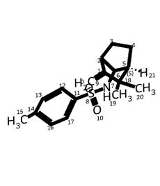 C=C1C2CC[C@H](C2NS(=O)(=O)c2ccc(C)cc2)C1(C)C